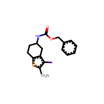 CCOC(=O)c1sc2c(c1I)CC(NC(=O)OCc1ccccc1)CC2